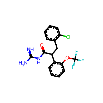 N=C(N)NC(=O)C(Cc1ccccc1Cl)c1ccccc1OC(F)(F)F